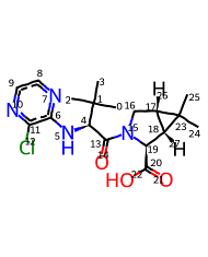 CC(C)(C)[C@H](Nc1nccnc1Cl)C(=O)N1C[C@H]2[C@@H]([C@H]1C(=O)O)C2(C)C